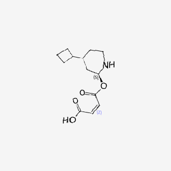 O=C(O)/C=C\C(=O)O[C@H]1CC(C2CCC2)CCN1